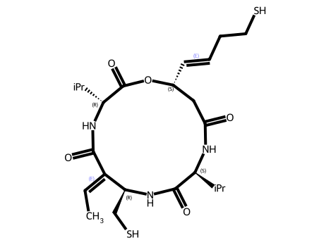 C/C=C1/C(=O)N[C@H](C(C)C)C(=O)O[C@H](/C=C/CCS)CC(=O)N[C@@H](C(C)C)C(=O)N[C@H]1CS